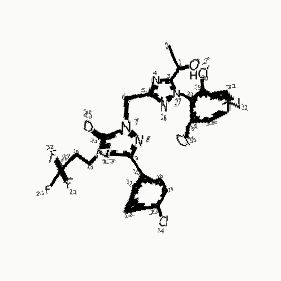 CC(O)c1nc(Cn2nc(-c3ccc(Cl)cc3)n(CCC(F)(F)F)c2=O)nn1-c1c(Cl)cncc1Cl